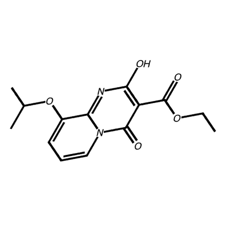 CCOC(=O)c1c(O)nc2c(OC(C)C)cccn2c1=O